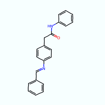 O=C(Cc1ccc(N=Cc2ccccc2)cc1)Nc1ccccc1